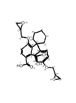 CC(C)c1c(C(=O)O)ccc(OCC2CO2)c1C1(c2ccc(OCC3CO3)cc2)CCCCC1